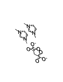 Cn1cc[n+](C)c1.Cn1cc[n+](C)c1.O=S(=O)([O-])CS(=O)(=O)[O-]